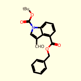 CC(C)(C)OC(=O)n1cc(C=O)c2c(C(=O)OCc3ccccc3)cccc21